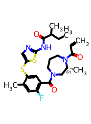 C=CC(=O)N1CCCN(C(=O)c2cc(Sc3cnc(NC(=O)C(C)CC)s3)c(C)cc2F)C[C@H]1C